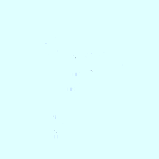 CCOC(=O)C1(C2CCCCC2)CCN(C(=O)[C@@H](Cc2ccc(Cl)c(Cl)c2)NC(=O)NCCCc2c[nH]cn2)CC1